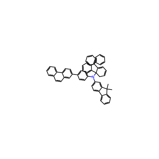 CC1(C)c2ccccc2-c2ccc(N(c3ccc(-c4ccc5c(ccc6ccccc65)c4)cc3)C3(c4ccccc4-c4ccccc4)CC=CC=C3c3ccccc3)cc21